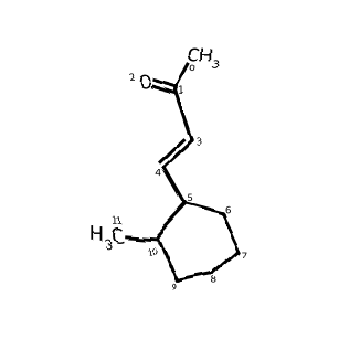 CC(=O)C=CC1CCCCC1C